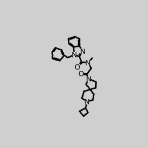 CN(CC(=O)N1CCC2(CCN(C3CCC3)CC2)C1)C(=O)c1nc2ccccc2n1Cc1ccccc1